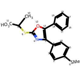 CSc1ccc(-c2nc(SC(C)C(=O)O)oc2-c2ccccc2)cc1